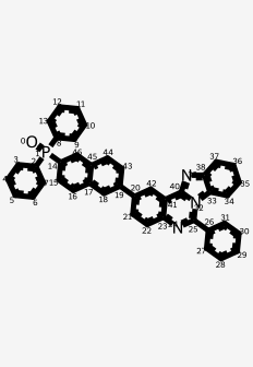 O=P(c1ccccc1)(c1ccccc1)c1ccc2cc(-c3ccc4nc(-c5ccccc5)n5c6ccccc6nc5c4c3)ccc2c1